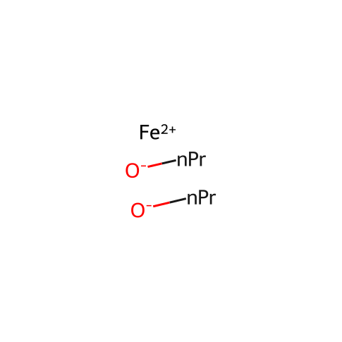 CCC[O-].CCC[O-].[Fe+2]